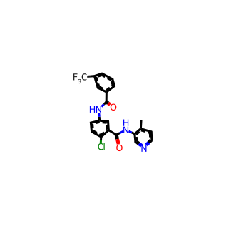 Cc1ccncc1NC(=O)c1cc(NC(=O)c2cccc(C(F)(F)F)c2)ccc1Cl